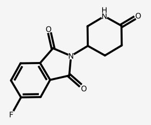 O=C1CCC(N2C(=O)c3ccc(F)cc3C2=O)CN1